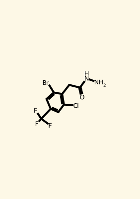 NNC(=O)Cc1c(Cl)cc(C(F)(F)F)cc1Br